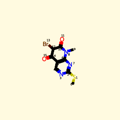 CSc1ncc2c(n1)N(C)C(=O)C(Br)C2=O